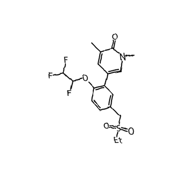 CCS(=O)(=O)Cc1ccc(OC(F)C(F)F)c(-c2cc(C)c(=O)n(C)c2)c1